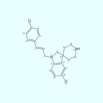 Clc1ccc(C=CCN2CC3(CCNCC3)c3cc(Cl)ccc32)cc1